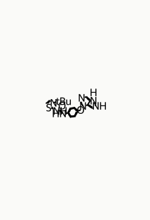 CC(C)(C)N1C=CSC1NC(=O)Nc1ccc(ON2C=NC=C3NNC=C32)cc1